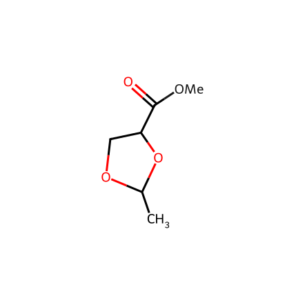 COC(=O)C1COC(C)O1